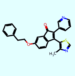 Cc1ncsc1C1=C(c2cccnc2)C(=O)c2cc(OCCc3ccccc3)ccc21